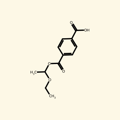 CCOC(C)OC(=O)c1ccc(C(=O)O)cc1